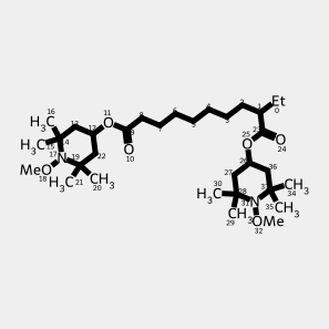 CCC(CCCCCCCC(=O)OC1CC(C)(C)N(OC)C(C)(C)C1)C(=O)OC1CC(C)(C)N(OC)C(C)(C)C1